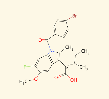 CCC(C)[C@H](C(=O)O)c1c(C)n(C(=O)c2ccc(Br)cc2)c2cc(F)c(OC)cc12